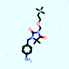 CC1(C)C(=O)N(COCC[Si](C)(C)C)C(=O)N1Cc1ccc(N)cc1